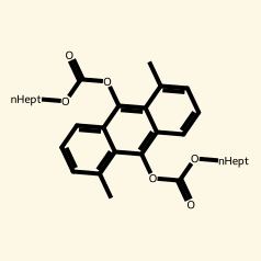 CCCCCCCOC(=O)Oc1c2cccc(C)c2c(OC(=O)OCCCCCCC)c2cccc(C)c12